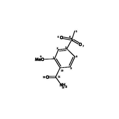 COc1cc(S(C)(=O)=O)ccc1C(N)=O